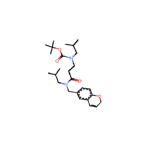 CC(C)CN(Cc1ccc2c(c1)C=CCO2)C(=O)CCN(CC(C)C)C(=O)OC(C)(C)C